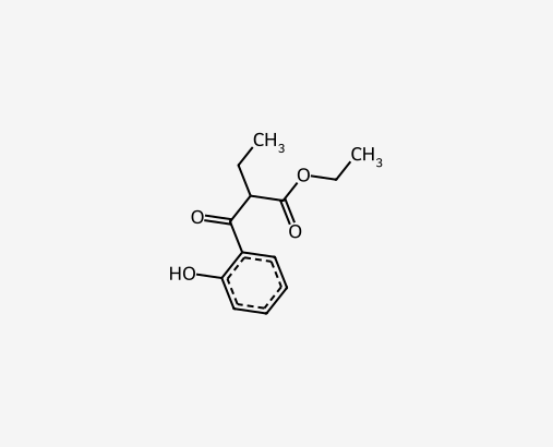 CCOC(=O)C(CC)C(=O)c1ccccc1O